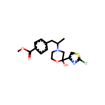 COC(=O)c1ccc(CC(C)N2CCOC(O)(c3csc(Cl)n3)C2)cc1